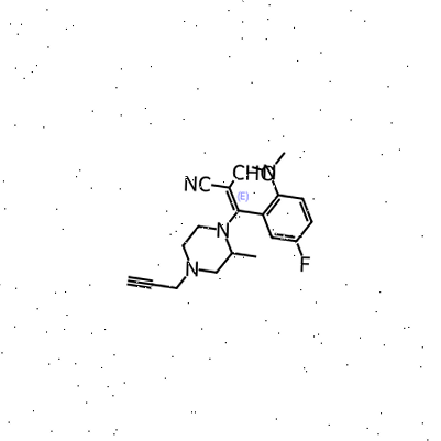 C#CCN1CCN(/C(=C(\C#N)C=O)c2cc(F)ccc2N(C)C)C(C)C1